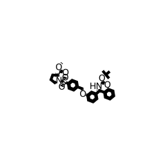 COC(=O)[C@@H]1CCCN1S(=O)(=O)c1ccc(COc2cccc([C@@H](NC(=O)OC(C)(C)C)c3ccccc3)c2)cc1